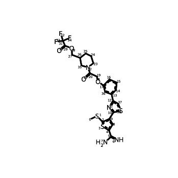 CSc1sc(C(=N)N)cc1-c1nc(-c2cccc(OCC(=O)N3CCCC(COC(=O)C(F)(F)F)C3)c2)cs1